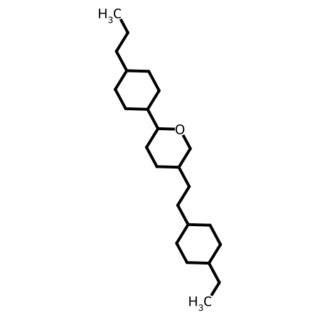 CCCC1CCC(C2CCC(CCC3CCC(CC)CC3)CO2)CC1